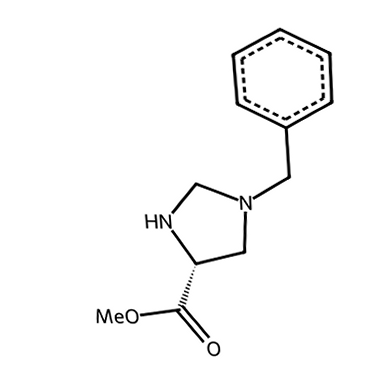 COC(=O)[C@H]1CN(Cc2ccccc2)CN1